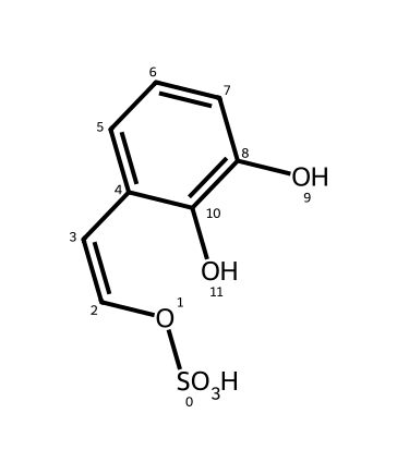 O=S(=O)(O)O/C=C\c1cccc(O)c1O